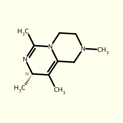 CC1=N[C@@H](C)C(C)=C2CN(C)CCN12